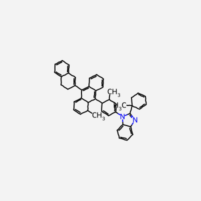 CC1C=C(n2c(C3(C)C=CC=CC3)nc3ccccc32)C=CC1C1=c2ccccc2=C(C2=Cc3ccccc3CC2)C2=CC=CC(C)C21